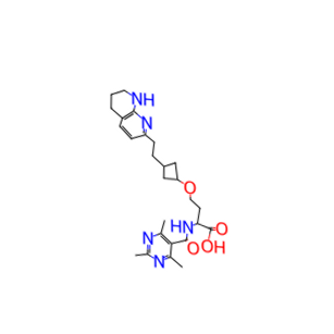 Cc1nc(C)c(C(=O)NC(CCOC2CC(CCc3ccc4c(n3)NCCC4)C2)C(=O)O)c(C)n1